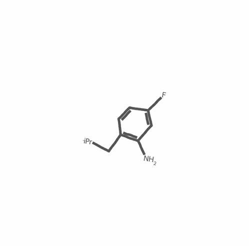 C[C](C)Cc1ccc(F)cc1N